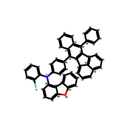 Fc1ccccc1N(c1ccc(-c2c3c(c(-c4ccccc4)c4ccccc24)-c2cccc4cccc-3c24)cc1)c1cccc2oc3ccccc3c12